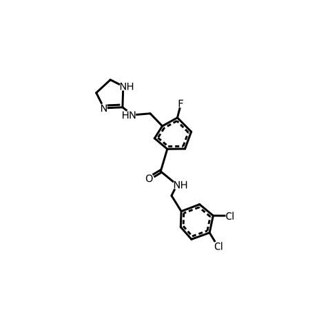 O=C(NCc1ccc(Cl)c(Cl)c1)c1ccc(F)c(CNC2=NCCN2)c1